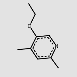 CCOc1cnc(C)cc1C